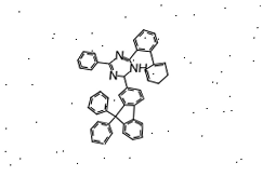 C1=CC(c2ccccc2C2=NC(c3ccccc3)=NC(c3ccc4c(c3)C(c3ccccc3)(c3ccccc3)c3ccccc3-4)N2)=CCC1